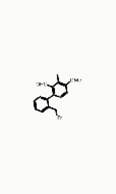 COc1ccc(-c2ccccc2CC(C)C)c(C=O)c1C